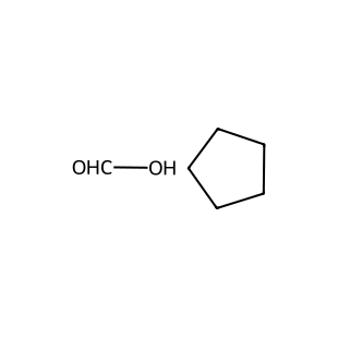 C1CCCC1.O=CO